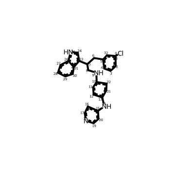 Clc1cccc(CC(CNc2ccc(Nc3ccncc3)cc2)c2c[nH]c3ccccc23)c1